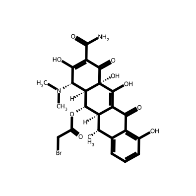 C[C@H]1c2cccc(O)c2C(=O)C2=C(O)[C@]3(O)C(=O)C(C(N)=O)=C(O)[C@@H](N(C)C)[C@@H]3[C@@H](OC(=O)CBr)[C@@H]21